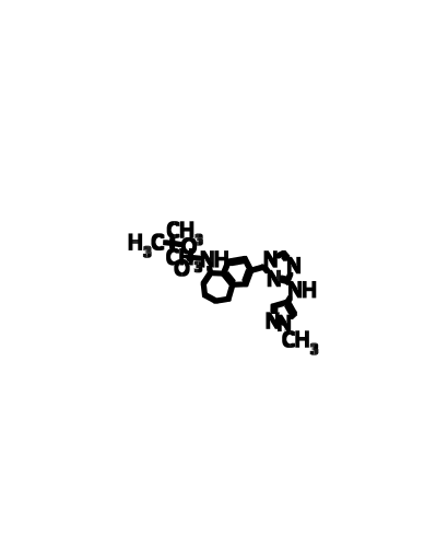 Cn1cc(Nc2ncnc(-c3ccc4c(c3)CCCCC4NC(=O)OC(C)(C)C)n2)cn1